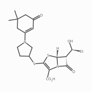 CC[C@H](O)[C@@H]1C(=O)N2C(C(=O)O)=C(SC3CCN(C4=CC(=O)CC(C)(C)C4)C3)S[C@H]12